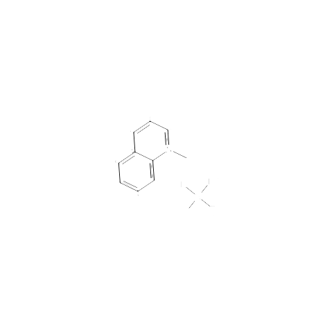 C[n+]1cccc2ccccc21.F[B-](F)(F)F